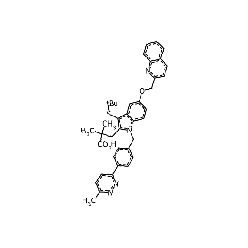 Cc1ccc(-c2ccc(Cn3c(CC(C)(C)C(=O)O)c(SC(C)(C)C)c4cc(OCc5ccc6ccccc6n5)ccc43)cc2)nn1